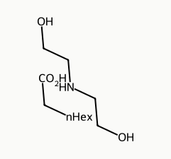 CCCCCCCC(=O)O.OCCNCCO